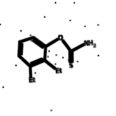 CCc1cccc(OC(N)=S)c1CC